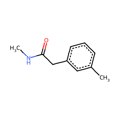 CNC(=O)Cc1cccc(C)c1